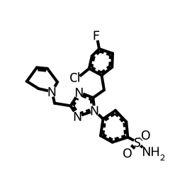 NS(=O)(=O)c1ccc(-n2nc(CN3CC=CCC3)nc2Cc2ccc(F)cc2Cl)cc1